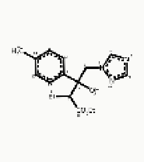 CCOC(=O)C(CC)C(O)(Cn1cncn1)c1ccc(C)cc1